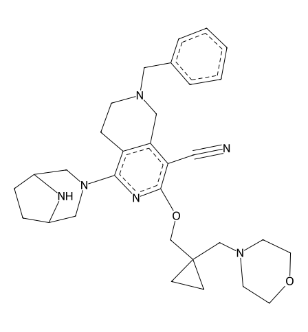 N#Cc1c(OCC2(CN3CCOCC3)CC2)nc(N2CC3CCC(C2)N3)c2c1CN(Cc1ccccc1)CC2